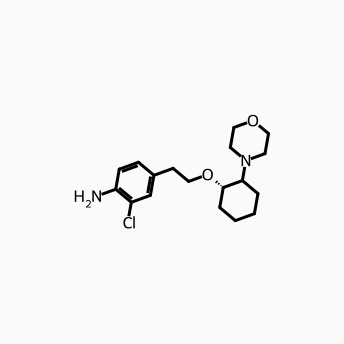 Nc1ccc(CCO[C@H]2CCCCC2N2CCOCC2)cc1Cl